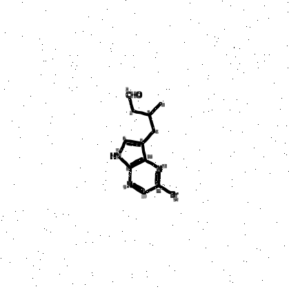 CC(CC=O)Cc1c[nH]c2ncc(Br)nc12